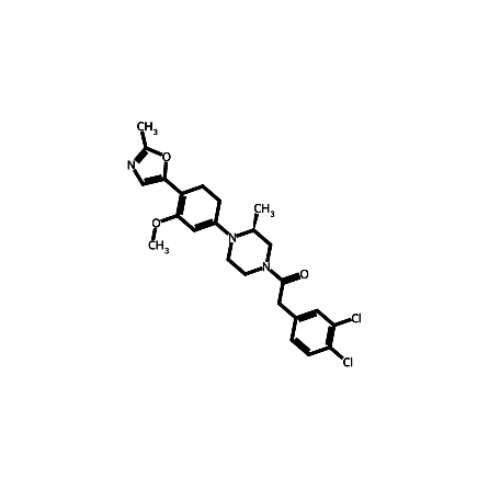 COC1=C(c2cnc(C)o2)CCC(N2CCN(C(=O)Cc3ccc(Cl)c(Cl)c3)C[C@@H]2C)=C1